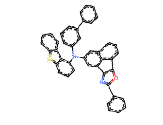 c1ccc(-c2cccc(N(c3cc4c5c(cccc5c3)-c3oc(-c5ccccc5)nc3-4)c3cccc4sc5ccccc5c34)c2)cc1